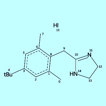 Cc1cc(C(C)(C)C)cc(C)c1CC1=NCCN1.I